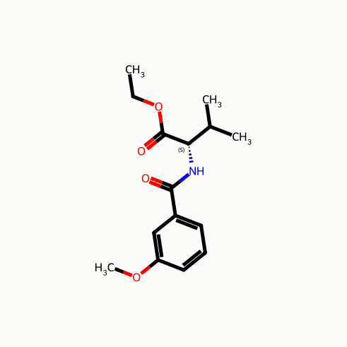 CCOC(=O)[C@@H](NC(=O)c1cccc(OC)c1)C(C)C